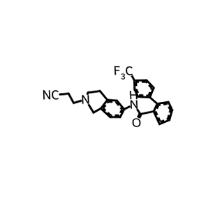 N#CCCN1CCc2cc(NC(=O)c3ccccc3-c3ccc(C(F)(F)F)cc3)ccc2C1